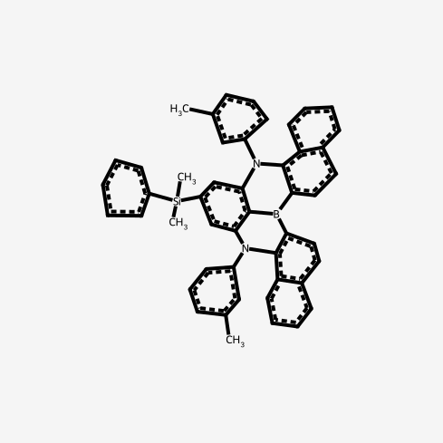 Cc1cccc(N2c3cc([Si](C)(C)c4ccccc4)cc4c3B(c3ccc5ccccc5c32)c2ccc3ccccc3c2N4c2cccc(C)c2)c1